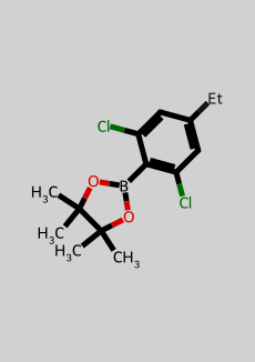 CCc1cc(Cl)c(B2OC(C)(C)C(C)(C)O2)c(Cl)c1